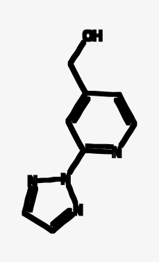 OCc1ccnc(-n2nccn2)c1